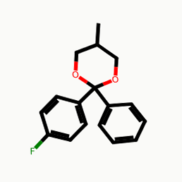 CC1COC(c2ccccc2)(c2ccc(F)cc2)OC1